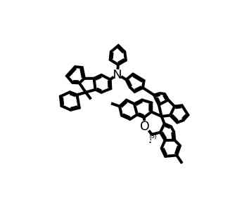 Cc1ccc2c3c(ccc2c1)C1(c2ccccc2-c2ccc(-c4ccc(N(c5ccccc5)c5ccc6c(c5)-c5ccccc5C6(C)c5ccccc5)cc4)cc21)c1ccc2cc(C)ccc2c1[C@H](C)O3